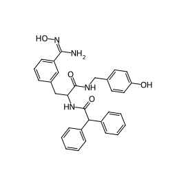 N/C(=N/O)c1cccc(CC(NC(=O)C(c2ccccc2)c2ccccc2)C(=O)NCc2ccc(O)cc2)c1